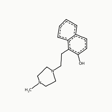 CN1CCN(CCc2c(O)ccc3ccccc23)CC1